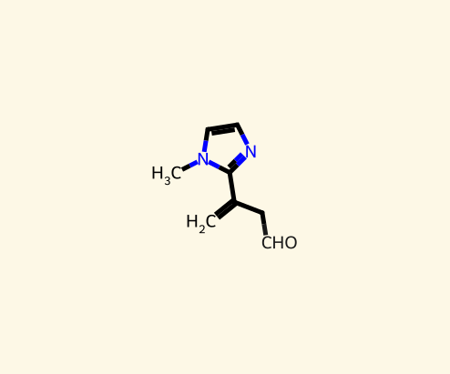 C=C(CC=O)c1nccn1C